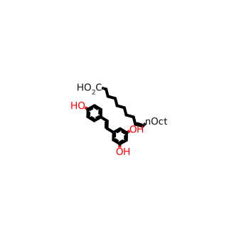 CCCCCCCC/C=C\CCCCCCCC(=O)O.Oc1ccc(C=Cc2cc(O)cc(O)c2)cc1